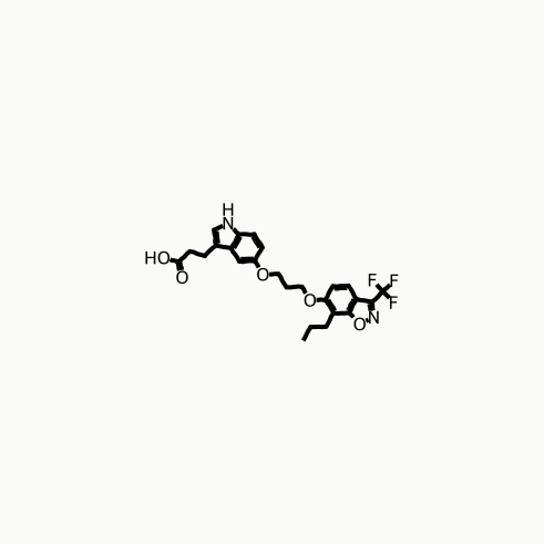 CCCc1c(OCCCOc2ccc3[nH]cc(CCC(=O)O)c3c2)ccc2c(C(F)(F)F)noc12